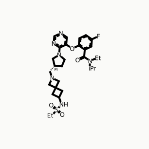 CCN(C(=O)c1cc(F)ccc1Oc1cncnc1N1CC[C@H](CN2CC3(CC(NS(=O)(=O)CC)C3)C2)C1)C(C)C